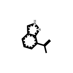 C=C(C)c1cccc2c[nH]nc12